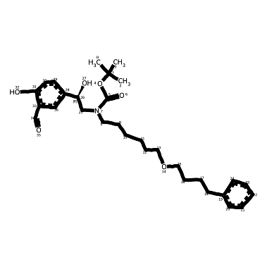 CC(C)(C)OC(=O)N(CCCCCCOCCCCc1ccccc1)C[C@H](O)c1ccc(O)c(C=O)c1